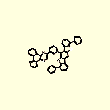 c1ccc(-c2cccc3c2oc2c(-c4cccc(-c5cnc6c7ccccc7c7ccccc7c6n5)c4)c4c(cc23)oc2c(-c3ccccc3)cccc24)cc1